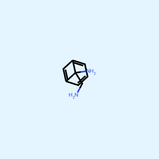 NCC1(N)c2cccc1c2